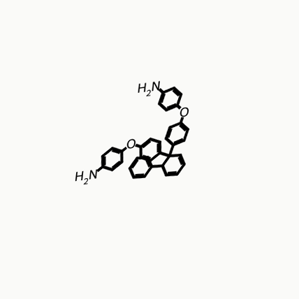 Nc1ccc(Oc2ccc(C3(c4ccc(Oc5ccc(N)cc5)cc4)C=CC=CC3c3ccccc3)cc2)cc1